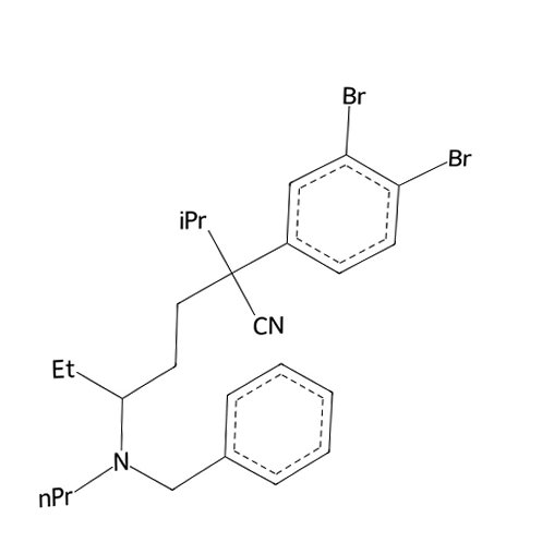 CCCN(Cc1ccccc1)C(CC)CCC(C#N)(c1ccc(Br)c(Br)c1)C(C)C